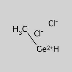 [CH3][GeH+2].[Cl-].[Cl-]